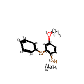 COc1ccc(S)c(Sc2ccccc2)c1.[NaH]